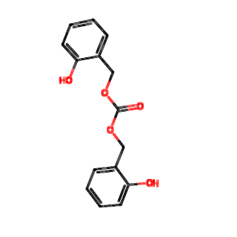 O=C(OCc1ccccc1O)OCc1ccccc1O